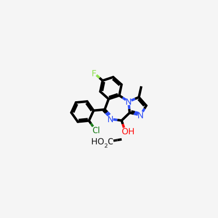 CC(=O)O.Cc1cnc2n1-c1ccc(F)cc1C(c1ccccc1Cl)=NC2O